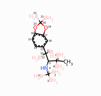 BC(B)(B)NC(C(B)(B)C)C(B)(B)c1ccc2c(c1)OC(B)(B)O2